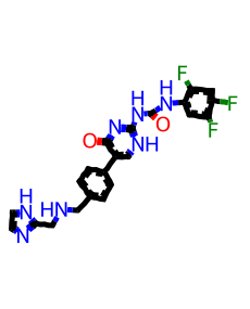 O=C(Nc1nc(=O)c(-c2ccc(CNCc3ncc[nH]3)cc2)c[nH]1)Nc1cc(F)c(F)cc1F